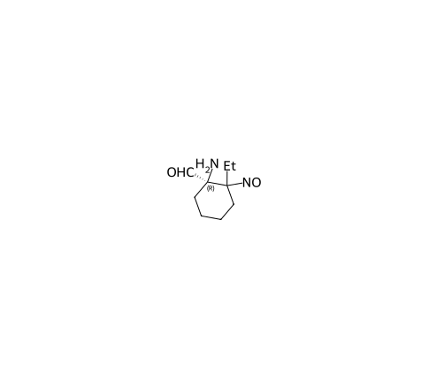 CCC1(N=O)CCCC[C@]1(N)C=O